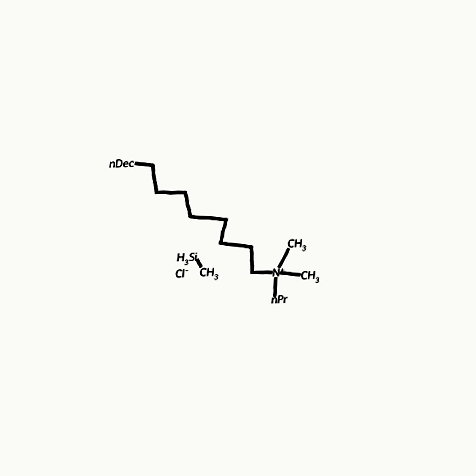 CCCCCCCCCCCCCCCCCC[N+](C)(C)CCC.C[SiH3].[Cl-]